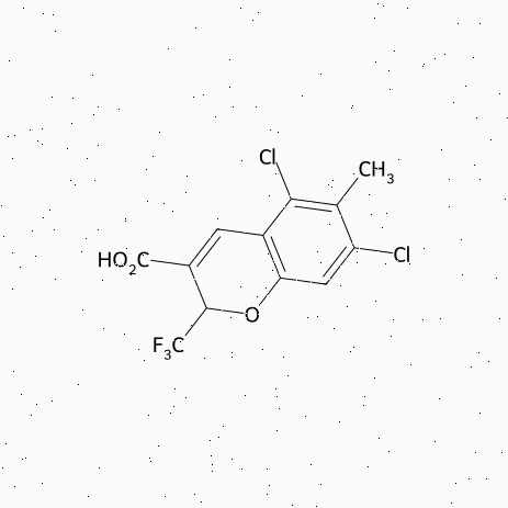 Cc1c(Cl)cc2c(c1Cl)C=C(C(=O)O)C(C(F)(F)F)O2